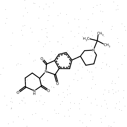 CC(C)(C)N1CCCC(c2ccc3c(c2)C(=O)N(C2CCC(=O)NC2=O)C3=O)C1